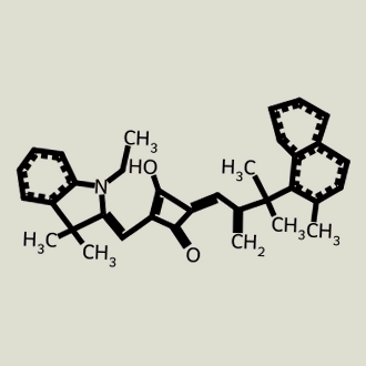 C=C(/C=C1\C(=O)C(/C=C2\N(CC)c3ccccc3C2(C)C)=C1O)C(C)(C)c1c(C)ccc2ccccc12